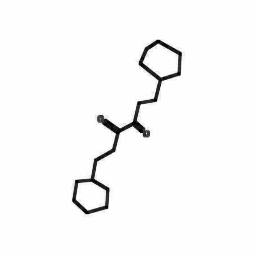 O=C(CCC1CCCCC1)C(=O)CCC1CCCCC1